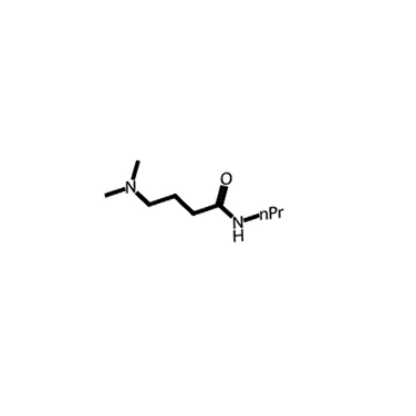 [CH2]CCNC(=O)CCCN(C)C